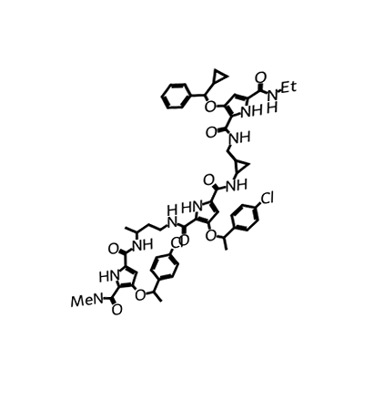 CCNC(=O)c1cc(OC(c2ccccc2)C2CC2)c(C(=O)NCC2CC2NC(=O)c2cc(OC(C)c3ccc(Cl)cc3)c(C(=O)NCCC(C)NC(=O)c3cc(OC(C)c4ccc(Cl)cc4)c(C(=O)NC)[nH]3)[nH]2)[nH]1